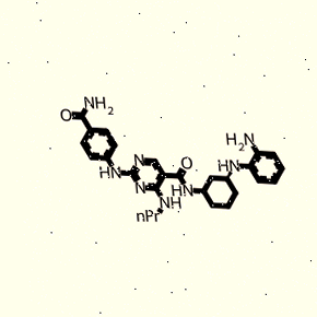 CCCNc1nc(Nc2ccc(C(N)=O)cc2)ncc1C(=O)NC1CCC[C@H](Nc2ccccc2N)C1